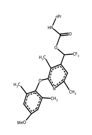 CCCNC(=O)OC(c1cc(C)nc(Oc2c(C)cc(OC)cc2C)c1C)C(F)(F)F